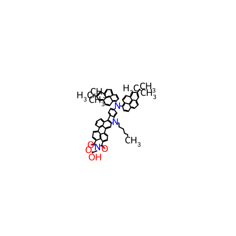 CCCCCCn1c2cc(N(c3ccc4ccc5cc(C(C)(C)C)cc6ccc3c4c56)c3ccc4ccc5cc(C(C)(C)C)cc6ccc3c4c56)ccc2c2c3cccc4c5ccc6c7c(ccc(c(cc21)c43)c75)C(=O)N(CC(=O)O)C6=O